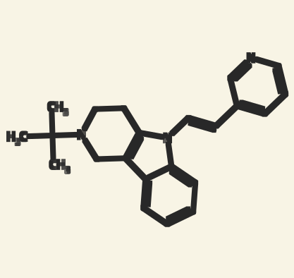 CC(C)(C)N1CCc2c(c3ccccc3n2C=Cc2cccnc2)C1